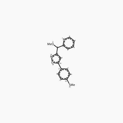 COC(c1ccccn1)c1cc(-c2ccc(SC)cc2)on1